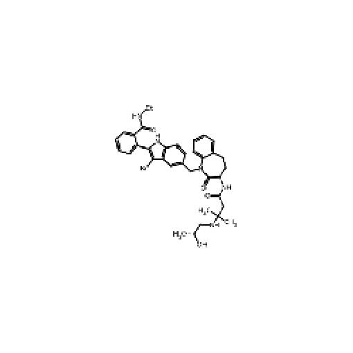 CCNC(=O)c1ccccc1-c1[nH]c2ccc(CN3C(=O)[C@H](NC(=O)CC(C)(C)NC[C@@H](C)O)CCc4ccccc43)cc2c1Br